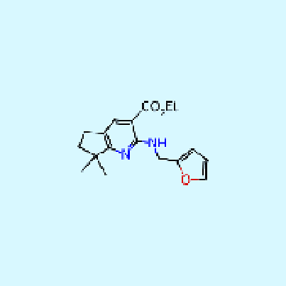 CCOC(=O)c1cc2c(nc1NCc1ccco1)C(C)(C)CC2